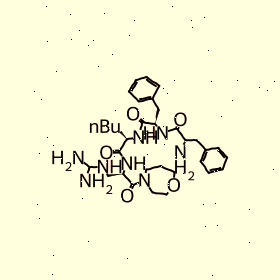 CCCC[C@@H](NC(=O)[C@@H](Cc1ccccc1)NC(=O)[C@H](N)Cc1ccccc1)C(=O)N[C@H](CNC(N)N)C(=O)N1CCCOCC1